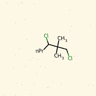 CCCC(Cl)C(C)(C)CCl